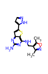 Cc1noc(C)c1CNc1nc(N)nc2cc(-c3ccn[nH]3)sc12